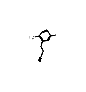 Bc1ccc(F)cc1CCC#C